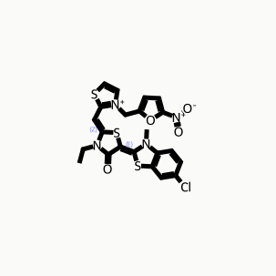 CCn1c(=O)/c(=C2\Sc3cc(Cl)ccc3N2C)s/c1=C\c1scc[n+]1Cc1ccc([N+](=O)[O-])o1